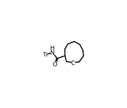 O=C([NH][Ti])C1CCCCCCCCC1